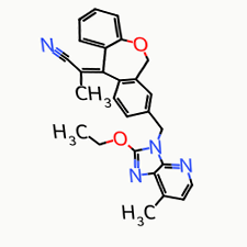 CCOc1nc2c(C)ccnc2n1Cc1ccc2c(c1)COc1ccccc1/C2=C(/C)C#N